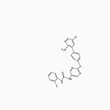 Nc1ncc(Cl)cc1-c1ccc(Oc2ncc(NC(=O)Nc3ccccc3F)cn2)cc1